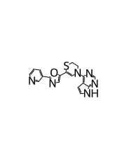 C1=C(c2cnc(-c3cccnc3)o2)SCCN1c1ncnc2[nH]ccc12